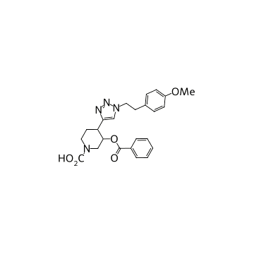 COc1ccc(CCn2cc(C3CCN(C(=O)O)CC3OC(=O)c3ccccc3)nn2)cc1